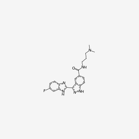 CN(C)CCCNC(=O)c1ccc2[nH]nc(-c3nc4ccc(F)cc4[nH]3)c2c1